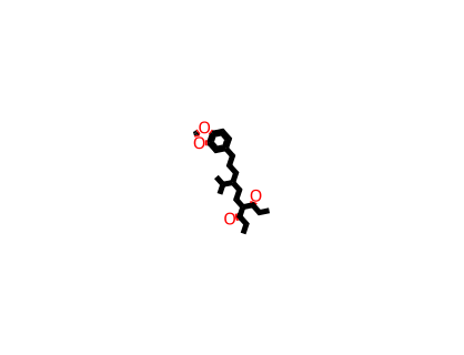 CCC(=O)C(CCC(CCCc1ccc2c(c1)OCO2)C(C)C)C(=O)CC